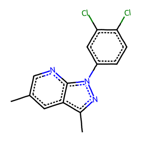 Cc1cnc2c(c1)c(C)nn2-c1ccc(Cl)c(Cl)c1